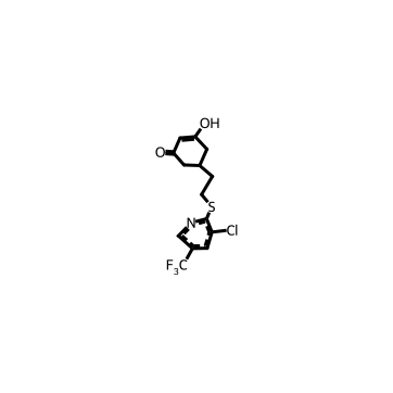 O=C1C=C(O)CC(CCSc2ncc(C(F)(F)F)cc2Cl)C1